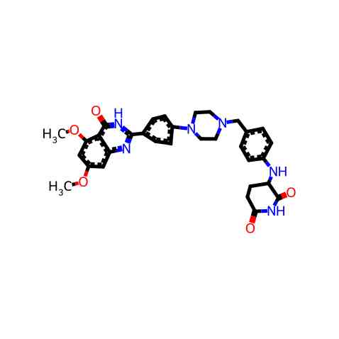 COc1cc(OC)c2c(=O)[nH]c(-c3ccc(N4CCN(Cc5ccc(NC6CCC(=O)NC6=O)cc5)CC4)cc3)nc2c1